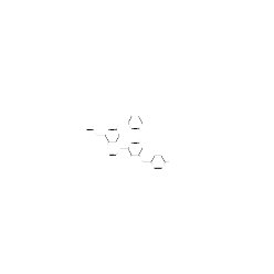 C=CCc1cc(Cc2cc(Oc3cc(CC=C)c(O)c(Cc4ccc(O)cc4)c3)ccc2O)ccc1O